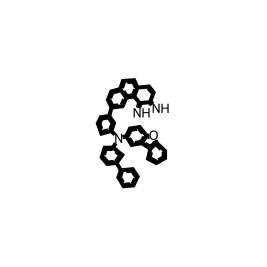 N=C1C=Cc2ccc3ccc(-c4cccc(N(c5cccc(-c6ccccc6)c5)c5ccc6oc7ccccc7c6c5)c4)cc3c2C1=N